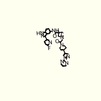 C[C@@]1(C(=O)Nc2ccc3[nH]nc(-c4ccc(F)nc4)c3c2)CCN(CC(=O)N2CC=C(c3cnn(-c4ncccn4)c3)CC2)C1